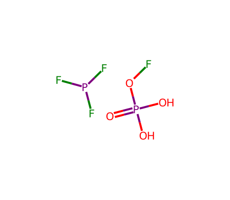 FP(F)F.O=P(O)(O)OF